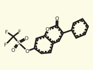 O=c1oc2cc(OS(=O)(=O)C(F)(F)F)ccc2cc1-c1ccccc1